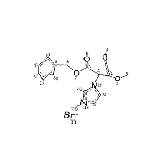 COC(=O)C(C(=O)OCc1ccccc1)n1cc[n+](C)c1.[Br-]